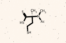 CC(=O)N(C)[C@@](C)(CCS)C(=S)S